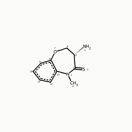 CN1C(=S)[C@@H](N)COc2ccccc21